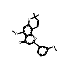 COc1cccc(-c2cc(=O)c3c(OC)cc4c(c3o2)C=CC(C)(C)O4)c1